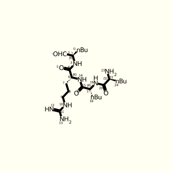 CCCC[C@H]([C]=O)NC(=O)[C@@H](CCCNC(=N)N)NC(=O)[C@@H](CCCC)NC(=O)[C@@H](N)CCCC